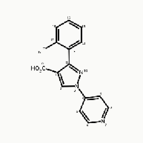 O=C(O)c1cn(-c2ccncc2)nc1-c1ccccc1F